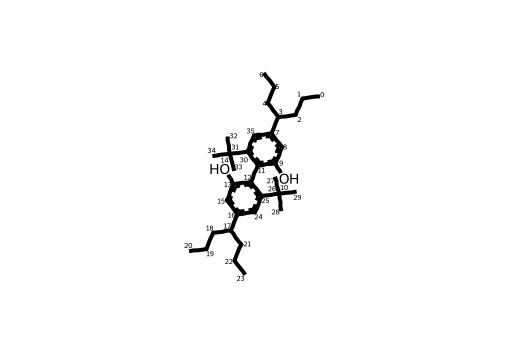 CCCC(CCC)c1cc(O)c(-c2c(O)cc(C(CCC)CCC)cc2C(C)(C)C)c(C(C)(C)C)c1